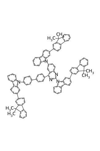 CC1(C)c2ccccc2-c2ccc(-c3ccc4c5ccccc5n(-c5ccc(-c6ccc(-c7nc(-n8c9ccccc9c9ccc(-c%10ccc%11c(c%10)C(C)(C)c%10ccccc%10-%11)cc98)nc8ccc(-n9c%10ccccc%10c%10ccc(-c%11ccc%12c(c%11)C(C)(C)c%11ccccc%11-%12)cc%109)cc78)cc6)cc5)c4c3)cc21